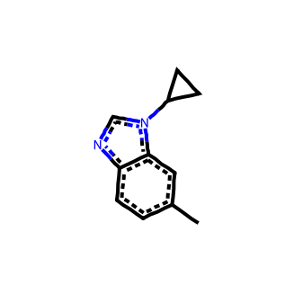 Cc1ccc2ncn(C3CC3)c2c1